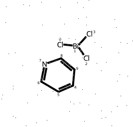 [Cl][Bi]([Cl])[Cl].c1ccncc1